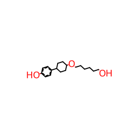 OCCCCCCOC1CCC(c2ccc(O)cc2)CC1